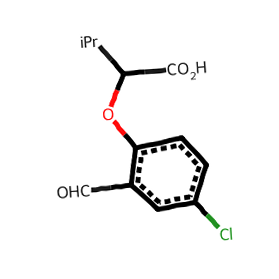 CC(C)C(Oc1ccc(Cl)cc1C=O)C(=O)O